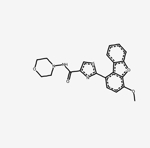 COc1ccc(-c2nc(C(=O)NN3CCOCC3)cs2)c2c1oc1ccccc12